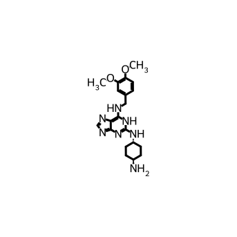 COc1ccc(CNc2[nH]c(N[C@H]3CC[C@H](N)CC3)nc3ncnc2-3)cc1OC